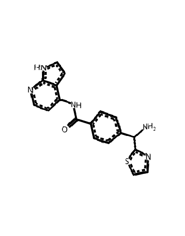 NC(c1ccc(C(=O)Nc2ccnc3[nH]ccc23)cc1)c1nccs1